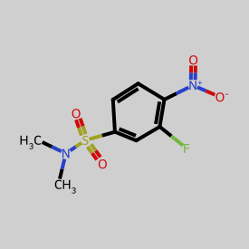 CN(C)S(=O)(=O)c1ccc([N+](=O)[O-])c(F)c1